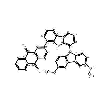 COc1ccc2c(c1)c1cc(OC)ccc1n2-c1cccc2c1oc1c(-c3ccc4c(c3)C(=O)c3ccccc3C4=O)cccc12